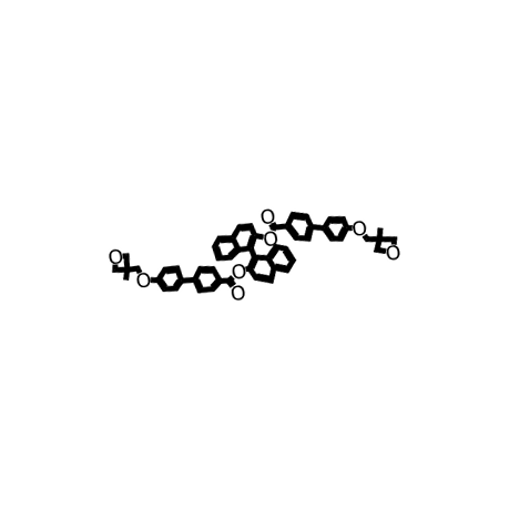 CC1(COc2ccc(-c3ccc(C(=O)Oc4ccc5ccccc5c4-c4c(OC(=O)c5ccc(-c6ccc(OCC7(C)COC7)cc6)cc5)ccc5ccccc45)cc3)cc2)COC1